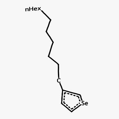 CCCCCCCCCCCCc1cc[se]c1